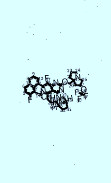 C#Cc1c(F)ccc2cccc(-c3nc4c5c(nc(OCC67CCCN6CC(OC(F)(F)F)C7)nc5c3F)N3C[C@H]5CC[C@H](N5)[C@H]3CC4)c12